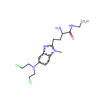 Cn1c(CCC(N)C(=O)NCC(=O)O)nc2cc(N(CCCl)CCCl)ccc21